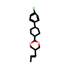 CC=CC1COC(C2CCC(c3ccc(Cl)cc3)CC2)OC1